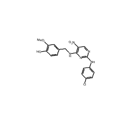 COc1cc(CNc2nc(Nc3ccc(Cl)cc3)ncc2[N+](=O)[O-])ccc1O